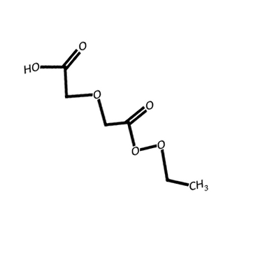 CCOOC(=O)COCC(=O)O